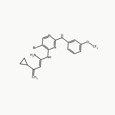 C=C(/C=C(\N)Nc1nc(Nc2cccc(OC(F)(F)F)c2)ncc1Br)C1CC1